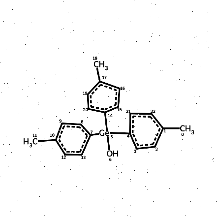 Cc1cc[c]([Ge]([OH])([c]2ccc(C)cc2)[c]2ccc(C)cc2)cc1